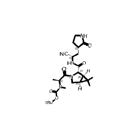 C[C@@H](C(=O)N1C[C@H]2[C@@H]([C@H]1C(=O)N[C@H](C#N)C[C@@H]1CCNC1=O)C2(C)C)N(C)C(=O)OC(C)(C)C